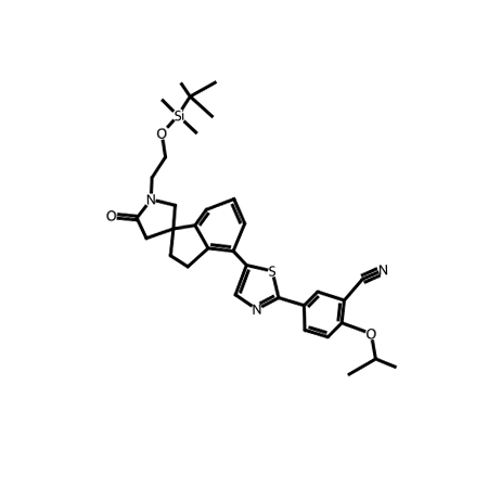 CC(C)Oc1ccc(-c2ncc(-c3cccc4c3CCC43CC(=O)N(CCO[Si](C)(C)C(C)(C)C)C3)s2)cc1C#N